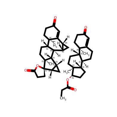 CCC(=O)O[C@H]1CC[C@H]2[C@@H]3CCC4=CC(=O)CC[C@]4(C)[C@H]3CC[C@]12C.C[C@]12CCC(=O)C=C1[C@@H]1C[C@@H]1[C@H]1[C@@H]3[C@@H]4C[C@@H]4[C@@]4(CCC(=O)O4)[C@@]3(C)CC[C@@H]12